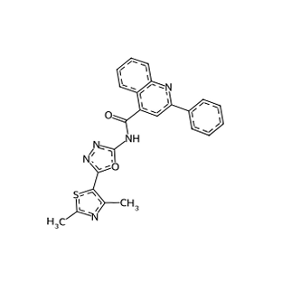 Cc1nc(C)c(-c2nnc(NC(=O)c3cc(-c4ccccc4)nc4ccccc34)o2)s1